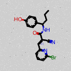 CCCC(NC(=O)/C(C#N)=C/c1cccc(Br)n1)c1ccc(O)cc1